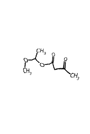 COC(C)OC(=O)CC(C)=O